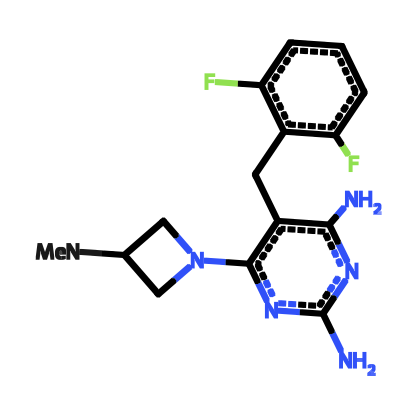 CNC1CN(c2nc(N)nc(N)c2Cc2c(F)cccc2F)C1